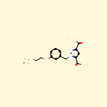 CNC(=O)c1cc(C(=O)OC)n([C@H](C)c2cccc(OCCO[Si](C)(C)C(C)(C)C)c2)n1